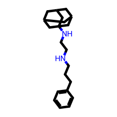 c1ccc(CCCNCCNC23CC4CC(CC(C4)C2)C3)cc1